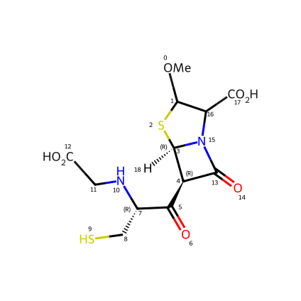 COC1S[C@@H]2[C@H](C(=O)[C@H](CS)NCC(=O)O)C(=O)N2C1C(=O)O